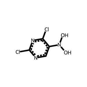 ON(O)c1cnc(Cl)nc1Cl